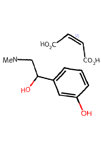 CNCC(O)c1cccc(O)c1.O=C(O)/C=C\C(=O)O